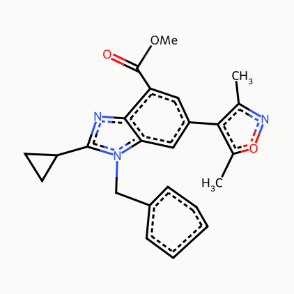 COC(=O)c1cc(-c2c(C)noc2C)cc2c1nc(C1CC1)n2Cc1ccccc1